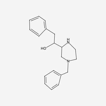 OC(Cc1ccccc1)C1CN(Cc2ccccc2)CCN1